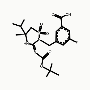 CC(C)[C@]1(C)CS(=O)(=O)N(Cc2cc(F)cc(C(=O)O)c2)/C(=N\C(=O)OC(C)(C)C)N1